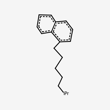 CC(C)CCCCCc1cccc2ccccc12